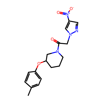 Cc1ccc(OC2CCCN(C(=O)Cn3cc([N+](=O)[O-])cn3)C2)cc1